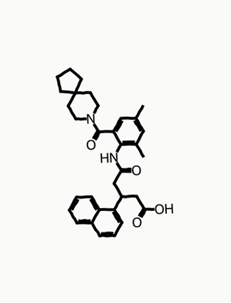 Cc1cc(C)c(NC(=O)CC(CC(=O)O)c2cccc3ccccc23)c(C(=O)N2CCC3(CCCC3)CC2)c1